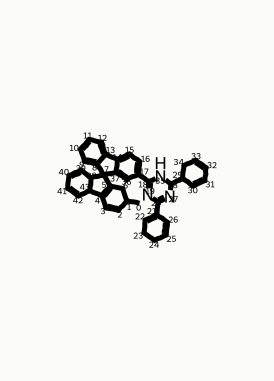 CC1C=CC2=C(C1)C1(c3ccccc3-c3ccc(C4=NC(C5=CCCC=C5)=NC(C5C=CC=CC5)N4)cc31)C1C=CC=CC21